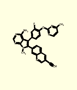 C#Cc1cnc2cc(-c3c(-c4ccc(Oc5nccc(C)n5)c(F)c4)c4c(N)ncnc4n3C)ccc2c1